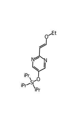 CCOC=Cc1ncc(O[Si](C(C)C)(C(C)C)C(C)C)cn1